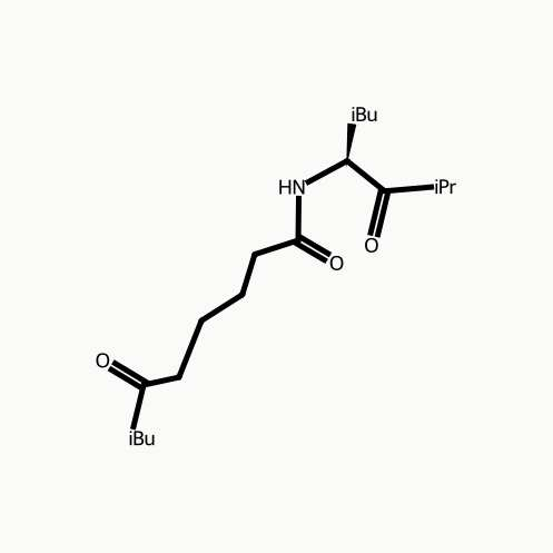 CCC(C)C(=O)CCCCC(=O)N[C@H](C(=O)C(C)C)C(C)CC